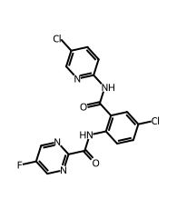 O=C(Nc1ccc(Cl)cc1C(=O)Nc1ccc(Cl)cn1)c1ncc(F)cn1